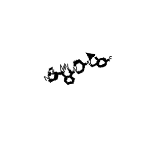 Cc1cc(F)ccc1CN(C1CC1)C1CCN(c2nnc(-c3ccnn3C)c3ccccc23)CC1